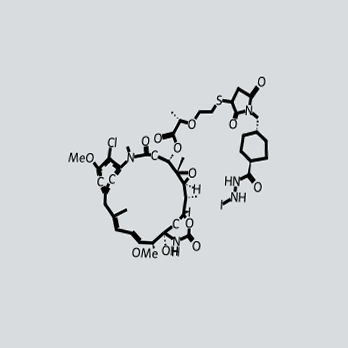 COc1cc2cc(c1Cl)N(C)C(=O)C[C@H](OC(=O)[C@H](C)OCCSC1CC(=O)N(C[C@H]3CC[C@H](C(=O)NNI)CC3)C1=O)[C@]1(C)O[C@H]1[C@H](C)[C@@H]1C[C@@](O)(NC(=O)O1)[C@H](OC)/C=C/C=C(\C)C2